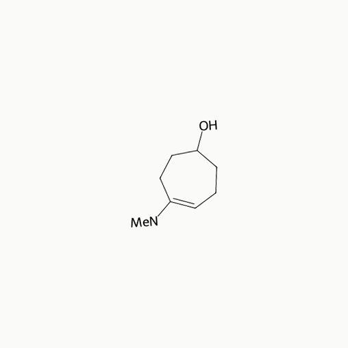 CNC1=CCCC(O)CC1